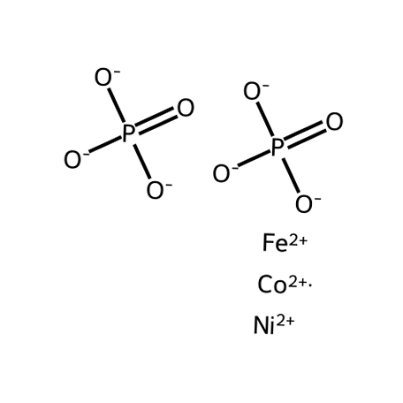 O=P([O-])([O-])[O-].O=P([O-])([O-])[O-].[Co+2].[Fe+2].[Ni+2]